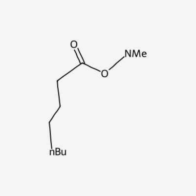 CCCCCCCC(=O)ONC